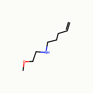 C=CCCCNCCOC